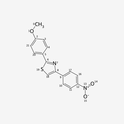 COc1ccc(-c2nc(-c3ccc([N+](=O)[O-])cc3)cs2)cc1